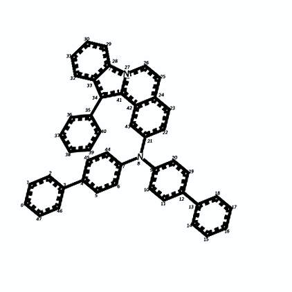 c1ccc(-c2ccc(N(c3ccc(-c4ccccc4)cc3)c3ccc4ccn5c6ccccc6c(-c6ccccc6)c5c4c3)cc2)cc1